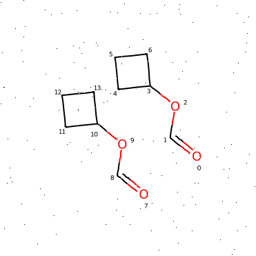 O=COC1CCC1.O=COC1CCC1